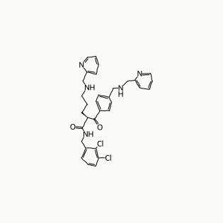 O=C(NCc1cccc(Cl)c1Cl)[C@@H](CCCNCc1ccccn1)C(=O)c1ccc(CNCc2ccccn2)cc1